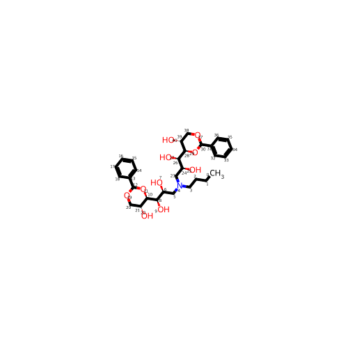 CCCCN(C[C@H](O)[C@@H](O)[C@@H]1OC(c2ccccc2)OC[C@H]1O)C[C@H](O)[C@@H](O)[C@@H]1OC(c2ccccc2)OC[C@H]1O